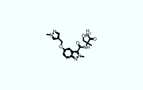 Cn1cc(COc2ccc3nn(C)c(C(=O)NC(C)(CO)C(N)=O)c3c2)cn1